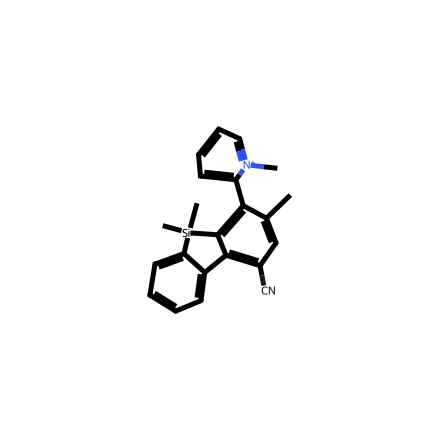 Cc1cc(C#N)c2c(c1-c1cccc[n+]1C)[Si](C)(C)c1ccccc1-2